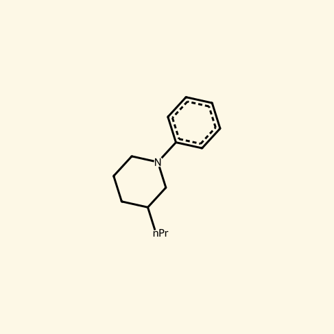 CCCC1CCCN(c2ccccc2)C1